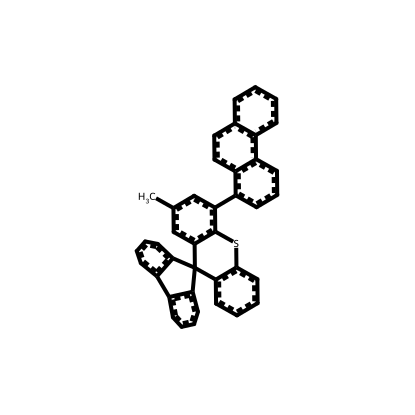 Cc1cc(-c2cccc3c2ccc2ccccc23)c2c(c1)C1(c3ccccc3S2)c2ccccc2-c2ccccc21